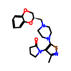 Cc1nsc(N2CCN(C[C@H]3COc4ccccc4O3)CC2)c1N1CCCC1=O